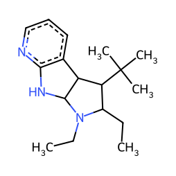 CCC1C(C(C)(C)C)C2c3cccnc3NC2N1CC